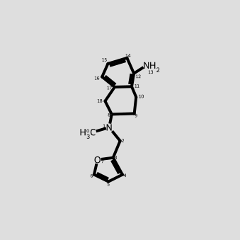 CN(Cc1ccco1)C1CCc2c(N)cccc2C1